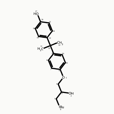 CC(C)(C)CC(O)COc1ccc(C(C)(C)c2ccc(O)cc2)cc1